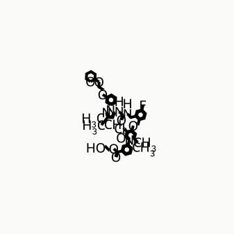 Cc1ccc(C(=O)OCCO)cc1-n1c(C)cc(OCc2ccc(F)cc2CNC(=O)Nc2cc(C(C)(C)C)nn2-c2cccc(OCCOC3CCCCO3)c2)c(Cl)c1=O